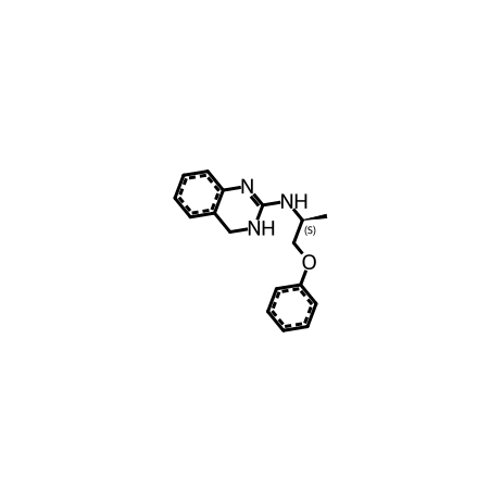 C[C@@H](COc1ccccc1)NC1=Nc2ccccc2CN1